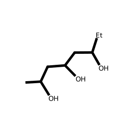 CCC(O)CC(O)CC(C)O